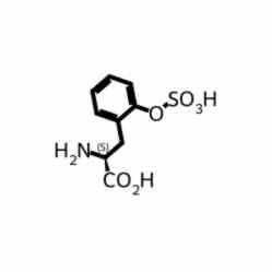 N[C@@H](Cc1ccccc1OS(=O)(=O)O)C(=O)O